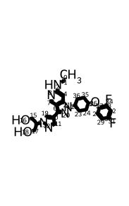 CCNc1cc2c(cn1)c(-c1cnn(C(CO)CO)c1)nn2[C@H]1CC[C@@H](Oc2ccc(F)cc2F)CC1